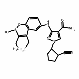 CCC1=C(CC)c2cc(Nc3nn(C4CCCC4C#N)cc3C(N)=O)ccc2OB1O